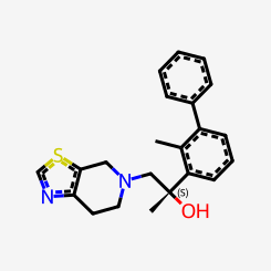 Cc1c(-c2ccccc2)cccc1[C@](C)(O)CN1CCc2ncsc2C1